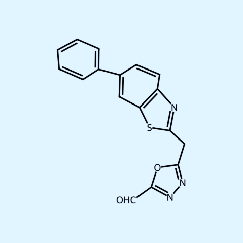 O=Cc1nnc(Cc2nc3ccc(-c4ccccc4)cc3s2)o1